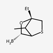 B[C@@H]1O[C@]2(CC)CSC1C2C